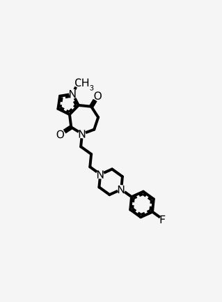 Cn1ccc2c1C(=O)CCN(CCCN1CCN(c3ccc(F)cc3)CC1)C2=O